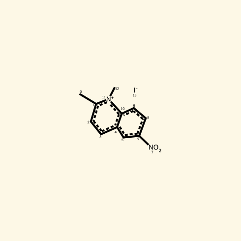 Cc1ccc2cc([N+](=O)[O-])ccc2[n+]1C.[I-]